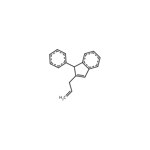 C=CCC1=Cc2ccccc2C1c1ccccc1